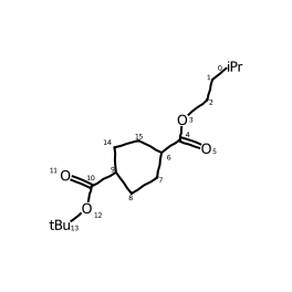 CC(C)CCOC(=O)C1CCC(C(=O)OC(C)(C)C)CC1